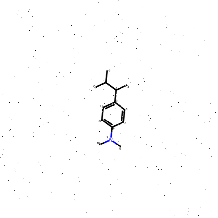 CC(C)C(C)c1ccc(N(C)C)cc1